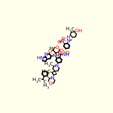 CC(C)c1ccccc1[C@@H]1COCCN1[C@@H]1C[C@@]2(CCN(c3ccc(C(=O)NS(=O)(=O)c4ccc(NC[C@H]5CC[C@](C)(O)CC5)c([N+](=O)[O-])c4)c(N4c5cc6cc[nH]c6nc5O[C@H]5COCC[C@@H]54)c3)[C@H](C)C2)[C@@H]1C